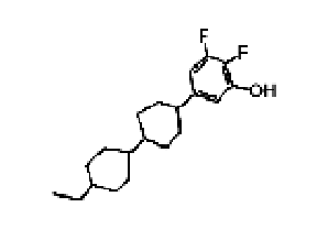 CCC1CCC(C2CCC(c3cc(O)c(F)c(F)c3)CC2)CC1